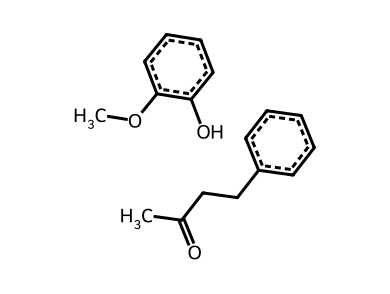 CC(=O)CCc1ccccc1.COc1ccccc1O